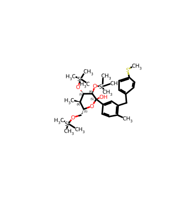 CSc1ccc(Cc2cc([C@]3(O)O[C@H](CO[Si](C)(C)C)[C@@H](C)[C@H](O[Si](C)(C)C)[C@H]3O[Si](C)(C)C)ccc2C)cc1